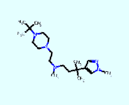 CN(CCN1CCN(C(C)(C)C)CC1)CCC(C)(C)c1cnn(C)c1